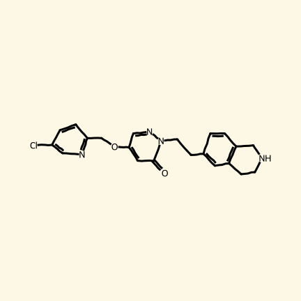 O=c1cc(OCc2ccc(Cl)cn2)cnn1CCc1ccc2c(c1)CCNC2